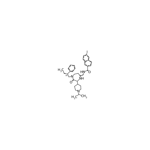 CC[C@H](CN1CC[C@@H](CNC(=O)c2ccc3cc(I)ccc3c2)NC(C2CCN(C(C)C)CC2)C1=O)c1ccccc1